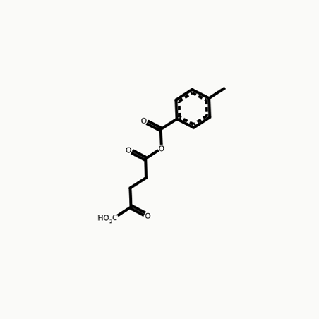 Cc1ccc(C(=O)OC(=O)CCC(=O)C(=O)O)cc1